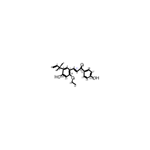 C=CC(C)(C)c1cc(/C=C/C(=O)c2ccc(O)cc2)c(OCC)cc1O